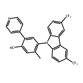 Cc1cc(C#N)c(-c2ccncc2)cc1-n1c2ccc(C(F)(F)F)cc2c2cc(C(F)(F)F)ccc21